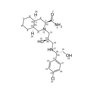 NC(=O)[C@@H]1C[C@@H]2CCCC[C@@H]2CN1C[C@H](O)CN[C@H](CO)c1ccc(Cl)cc1